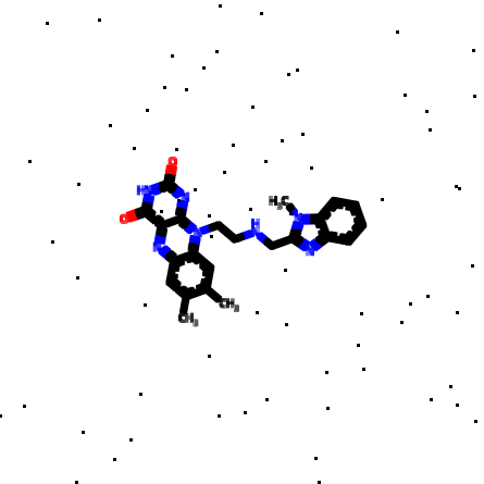 Cc1cc2nc3c(=O)[nH]c(=O)nc-3n(CCNCc3nc4ccccc4n3C)c2cc1C